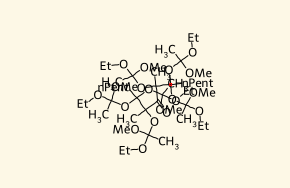 CCCCCC(OC(C)(OC)OCC)(OC(C)(OC)OCC)C(C)(OC(C)(OC)OCC)C(=O)C(C)(OC(C)(OC)OCC)C(CCCCC)(OC(C)(OC)OCC)OC(C)(OC)OCC